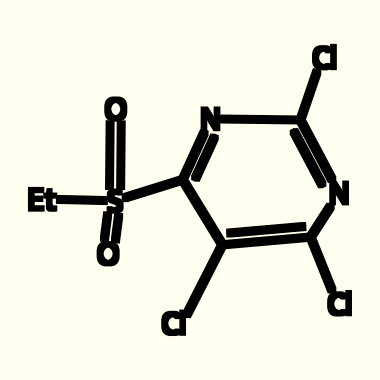 CCS(=O)(=O)c1nc(Cl)nc(Cl)c1Cl